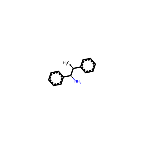 C[C@@H](c1ccccc1)[C@H](N)c1ccccc1